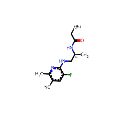 Cc1nc(NC[C@H](C)NC(=O)CC(C)(C)C)c(F)cc1C#N